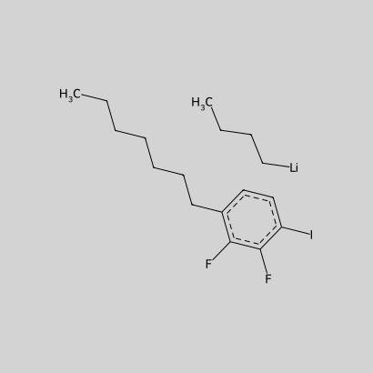 CCCCCCCc1ccc(I)c(F)c1F.[Li][CH2]CCC